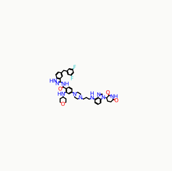 O=C1CCC(n2cnc3c(NCCCN4CCN(c5ccc(C(=O)Nc6n[nH]c7ccc(Cc8cc(F)cc(F)c8)cc67)c(NC6CCOCC6)c5)CC4)cccc32)C(=O)N1